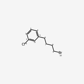 Clc1cccc(CCCCBr)c1